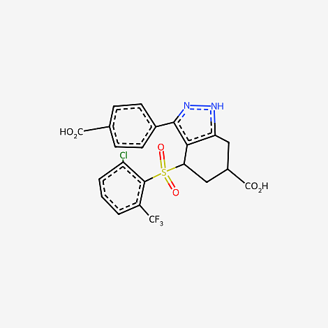 O=C(O)c1ccc(-c2n[nH]c3c2C(S(=O)(=O)c2c(Cl)cccc2C(F)(F)F)CC(C(=O)O)C3)cc1